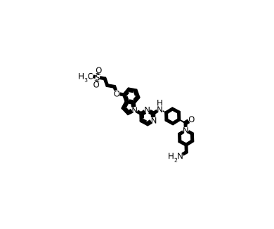 CS(=O)(=O)CCCOc1cccc2c1ccn2-c1ccnc(N[C@H]2CC[C@H](C(=O)N3CCC(CN)CC3)CC2)n1